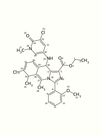 CCOC(=O)c1nc(-c2ccccc2OC)n2c1C(Nc1cc(Cl)c(=O)n(C)c1)C1=CC=C(Cl)C(C)C1=C2C